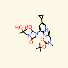 CN(Cc1cn2cc(C3CC3)cc(N3CC(=O)N(CC(C)(C)O)C3O)c2n1)C(=O)OC(C)(C)C